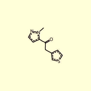 Cn1nccc1C(=O)Cc1ccsc1